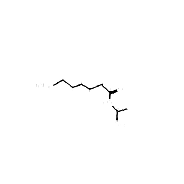 CCCCCCCCCCCCCCC(=O)OC(C)S(=O)(=O)O